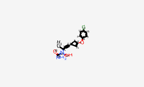 CC(C#C[C@H]1C[C@@H](Oc2ccc(Cl)cc2)C1)N(O)C(N)=O